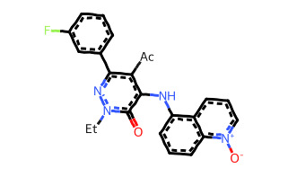 CCn1nc(-c2cccc(F)c2)c(C(C)=O)c(Nc2cccc3c2ccc[n+]3[O-])c1=O